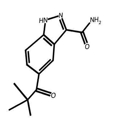 CC(C)(C)C(=O)c1ccc2[nH]nc(C(N)=O)c2c1